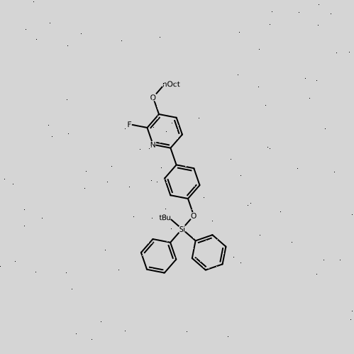 CCCCCCCCOc1ccc(-c2ccc(O[Si](c3ccccc3)(c3ccccc3)C(C)(C)C)cc2)nc1F